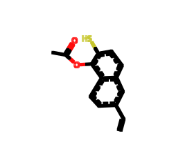 C=Cc1ccc2c(OC(C)=O)c(S)ccc2c1